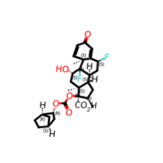 C[C@@H]1C[C@H]2[C@@H]3C[C@H](F)C4=CC(=O)C=C[C@]4(C)[C@@]3(F)[C@@H](O)C[C@]2(C)[C@@]1(OC(=O)O[C@@H]1C[C@H]2CC[C@@H]1C2)C(=O)O